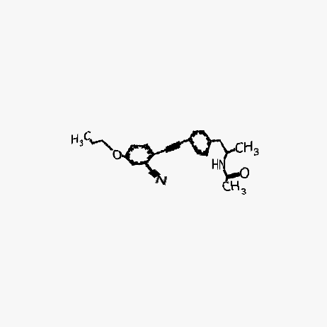 CCCOc1ccc(C#Cc2ccc(CC(C)NC(C)=O)cc2)c(C#N)c1